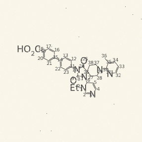 CCN1C=NC=CC1N1C(=O)N(c2ccc(-c3ccc(C(=O)O)cc3)cc2)C(=O)C12CCN(c1ncccc1C)CC2